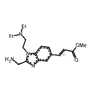 CCN(CC)CCn1c(CN)nc2cc(/C=C/C(=O)OC)ccc21